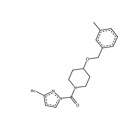 CC(=O)c1ccn(C(=O)N2CCC(OCc3cccc(C)c3)CC2)n1